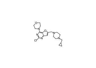 Clc1nc(N2CCOCC2)c2oc(CN3CCN(CC4CC4)CC3)cc2n1